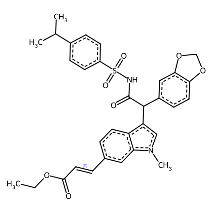 CCOC(=O)/C=C/c1ccc2c(C(C(=O)NS(=O)(=O)c3ccc(C(C)C)cc3)c3ccc4c(c3)OCO4)cn(C)c2c1